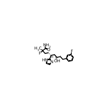 CC(F)(CC[C@H](C[C@@H](O)[CH]Cc1cccc(F)c1)c1ncc[nH]1)C(N)=O